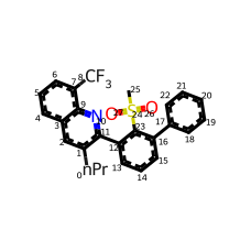 CCCc1cc2cccc(C(F)(F)F)c2nc1-c1cccc(-c2ccccc2)c1S(C)(=O)=O